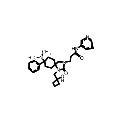 CN(C)C1(c2ccccc2)CCC2(CC1)CN(CCC(=O)Nc1cccnc1)C(=O)N2CC1(O)CCC1